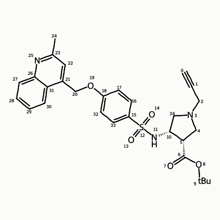 C#CCN1C[C@H](C(=O)OC(C)(C)C)[C@H](NS(=O)(=O)c2ccc(OCc3cc(C)nc4ccccc34)cc2)C1